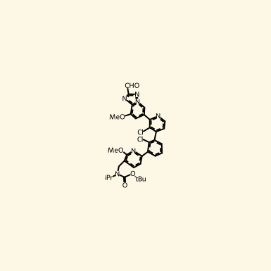 COc1nc(-c2cccc(-c3ccnc(-c4cc(OC)c5nc(C=O)nn5c4)c3Cl)c2Cl)ccc1CN(C(=O)OC(C)(C)C)C(C)C